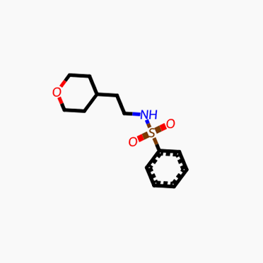 O=S(=O)(NCCC1CCOCC1)c1ccccc1